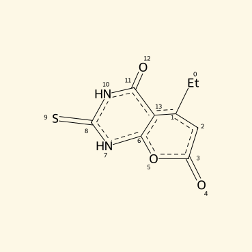 CCc1cc(=O)oc2[nH]c(=S)[nH]c(=O)c12